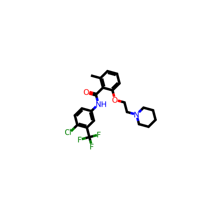 Cc1cccc(OCCN2CCCCC2)c1C(=O)Nc1ccc(Cl)c(C(F)(F)F)c1